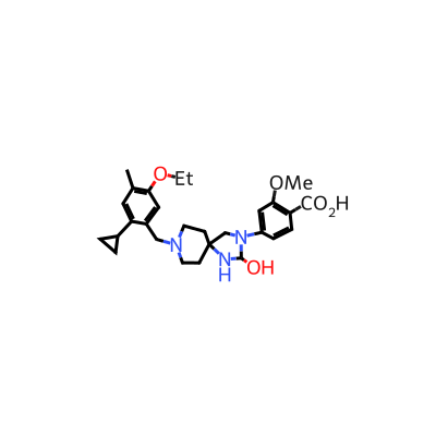 CCOc1cc(CN2CCC3(CC2)CN(c2ccc(C(=O)O)c(OC)c2)C(O)N3)c(C2CC2)cc1C